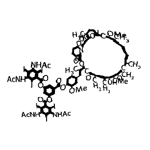 CO[C@H]1C[C@@H]2CC[C@@H](C)[C@@](O)(O2)C(=O)C(=O)N2CCCC[C@H]2C(=O)O[C@H]([C@H](C)C[C@@H]2CC[C@@H](OC(=O)c3cc(OC(=O)c4c(I)c(NC(C)=O)c(I)c(NC(C)=O)c4I)cc(OC(=O)c4c(I)c(NC(C)=O)c(I)c(NC(C)=O)c4I)c3)[C@H](OC)C2)CC(=O)[C@H](C)/C=C(\C)[C@@H](O)[C@@H](OC)C(=O)[C@H](C)C[C@H](C)/C=C/C=C/C=C/1C